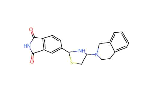 O=C1NC(=O)c2cc(C3NC(N4CCc5ccccc5C4)CS3)ccc21